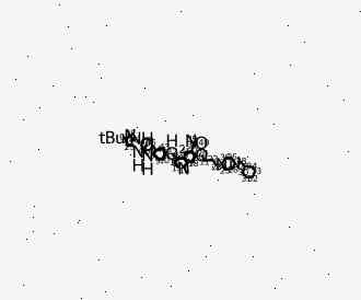 CC(C)(C)c1cc(NC(=O)Nc2ccc(Oc3ccnc4cc(OCCCN5CCN(CC6CCCCC6)CC5)c(C(N)=O)cc34)cc2Cl)[nH]n1